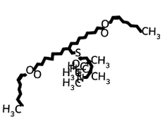 CCCCCC/C=C\COC(=O)CCCCCCCC(CCCCCCCC(=O)OC/C=C\CCCCCC)CSC(=O)CC(C)(C)CC(C)(C)CN(C)C